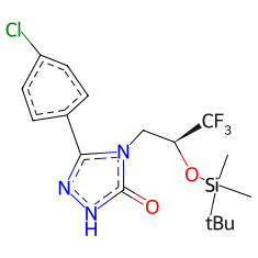 CC(C)(C)[Si](C)(C)O[C@@H](Cn1c(-c2ccc(Cl)cc2)n[nH]c1=O)C(F)(F)F